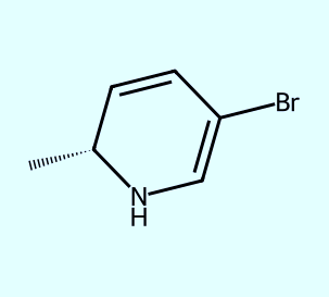 C[C@@H]1C=CC(Br)=CN1